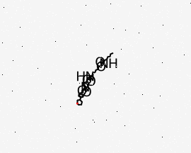 CCCCCCNC(=O)OCCCCCCNC(=O)OC1CCN(C(=O)Oc2ccc(C3CCCCC3)cc2)CC1